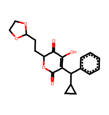 O=C1OC(CCC2OCCO2)C(=O)C(O)=C1C(c1ccccc1)C1CC1